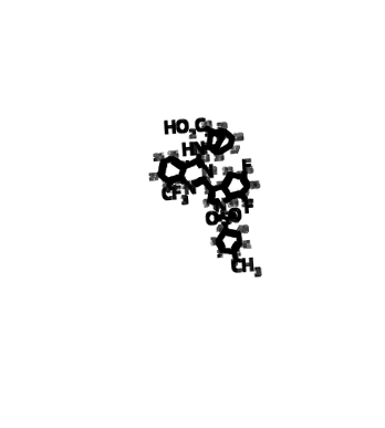 Cc1ccc(S(=O)(=O)n2cc(-c3nc(NC4C5CCC(CC5)C4C(=O)O)c4cccc(C(F)(F)F)c4n3)c3cc(F)cc(F)c32)cc1